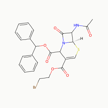 CC(=O)NC1C(=O)N2C(C(=O)OC(c3ccccc3)c3ccccc3)C(C(=O)OCCBr)=CS[C@H]12